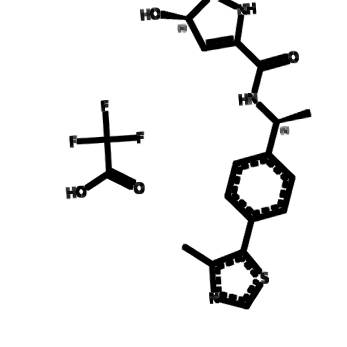 Cc1ncsc1-c1ccc([C@H](C)NC(=O)C2=C[C@@H](O)CN2)cc1.O=C(O)C(F)(F)F